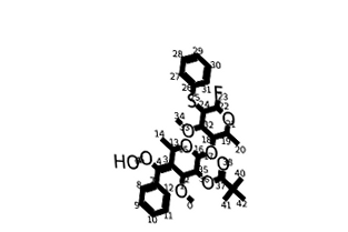 COC1/C(=C(/OO)c2ccccc2)C(C)OC(OC2C(C)OC(F)C(Sc3ccccc3)C2OC)C1OC(=O)C(C)(C)C